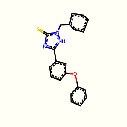 S=c1nc(-c2cccc(Oc3ccccc3)c2)[nH]n1Cc1ccccc1